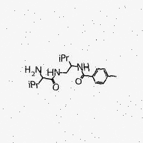 Cc1ccc(C(=O)NC(CNC(=O)C(N)C(C)C)C(C)C)cc1